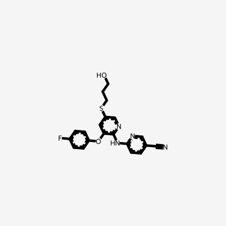 N#Cc1ccc(Nc2ncc(SCCCO)cc2Oc2ccc(F)cc2)nc1